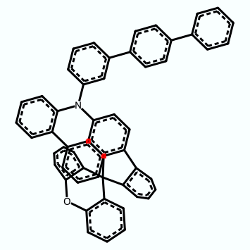 c1ccc(-c2ccc(-c3cccc(N(c4ccc5c(c4)C4(c6ccccc6Oc6ccccc64)c4ccccc4-5)c4ccccc4-c4ccccc4)c3)cc2)cc1